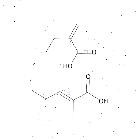 C=C(CC)C(=O)O.CC/C=C(\C)C(=O)O